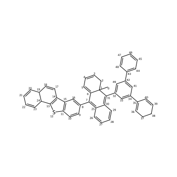 CC12CC=CC=C1C(c1ccc3sc4c(c3c1)C=CC1C=CC=CC41)=c1ccccc1=C2c1cc(C2=CCCC=C2)cc(-c2ccccc2)c1